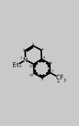 CCN1C=CCc2cc(C(F)(F)F)ccc21